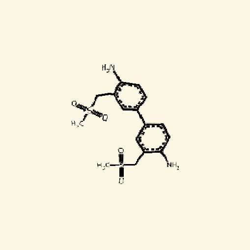 CS(=O)(=O)Cc1cc(-c2ccc(N)c(CS(C)(=O)=O)c2)ccc1N